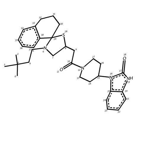 CC(C)(C)CCN1CC(CC(=O)N2CCC(n3c(=O)[nH]c4ccccc43)CC2)SC12CCCc1ccccc12